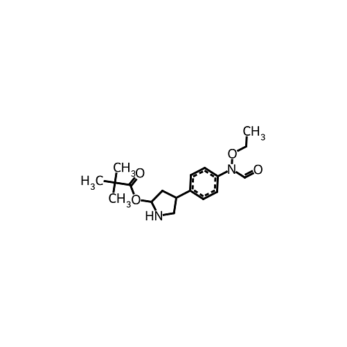 CCON(C=O)c1ccc(C2CNC(OC(=O)C(C)(C)C)C2)cc1